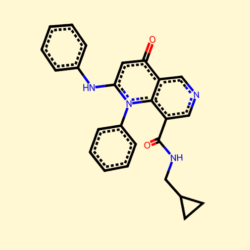 O=C(NCC1CC1)c1cncc2c(=O)cc(Nc3ccccc3)n(-c3ccccc3)c12